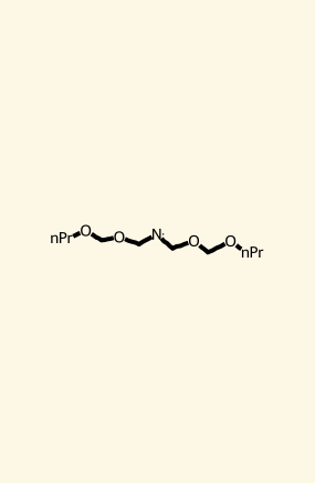 CCCOCOC[N]COCOCCC